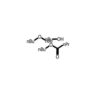 CCCCO.CCCCOC(=O)CCC.CCCCOCCCC